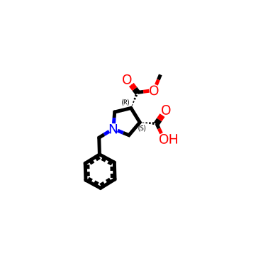 COC(=O)[C@H]1CN(Cc2ccccc2)C[C@H]1C(=O)O